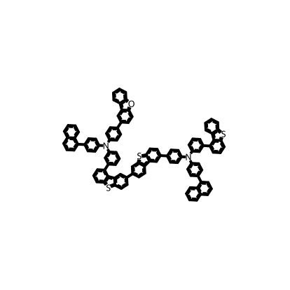 c1cc(-c2cccc3sc4ccccc4c23)cc(N(c2ccc(-c3ccc4sc5cc(-c6ccc7sc8cccc(-c9cccc(N(c%10ccc(-c%11ccc%12oc%13ccccc%13c%12c%11)cc%10)c%10ccc(-c%11cccc%12ccccc%11%12)cc%10)c9)c8c7c6)ccc5c4c3)cc2)c2ccc(-c3cccc4ccccc34)cc2)c1